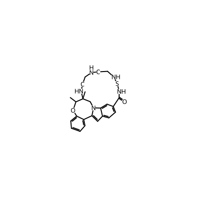 CC1Oc2ccccc2-c2cc3ccc4cc3n2CC1(C)NCCNCCNSNC4=O